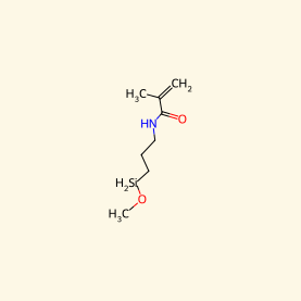 C=C(C)C(=O)NCCC[SiH2]OC